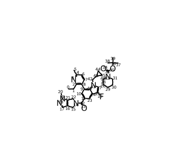 CCc1nc(C)ccc1-c1cc(C(=O)N2Cc3cnn(C)c3C2)cc2c(F)c([C@H]3CCCN(C(=O)OC(C)(C)C)C3)n(CC3CC3)c12